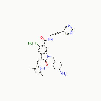 Cc1cc(C)c(/C=C2\C(=O)N(CC3CCC(N)CC3)c3cc(C(=O)NCC#Cc4cncnc4)c(F)cc32)[nH]1.Cl